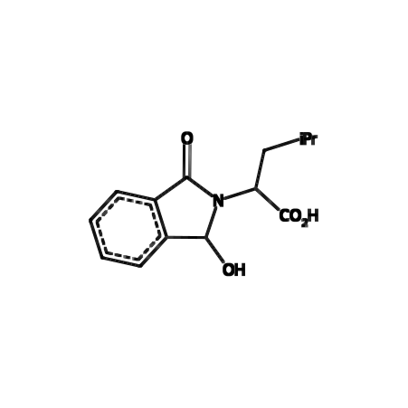 CC(C)CC(C(=O)O)N1C(=O)c2ccccc2C1O